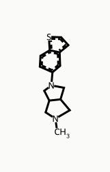 CN1CC2CN(c3ccc4sccc4c3)CC2C1